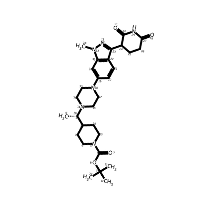 C[C@@H](C1CCN(C(=O)OC(C)(C)C)CC1)N1CCN(c2ccc3c(C4CCC(=O)NC4=O)nn(C)c3c2)CC1